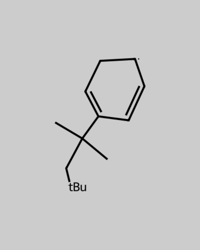 CC(C)(C)CC(C)(C)C1=CC[CH]C=C1